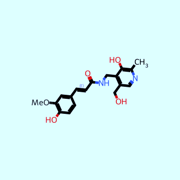 COc1cc(/C=C/C(=O)NCc2c(CO)cnc(C)c2O)ccc1O